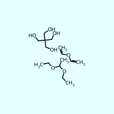 C=COC=C.CCOC(C)OCC.OCC(CO)(CO)CO